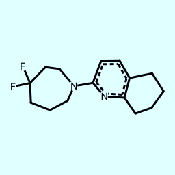 FC1(F)CCCN(c2ccc3c(n2)CCCC3)CC1